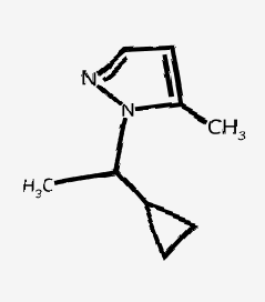 Cc1ccnn1C(C)C1CC1